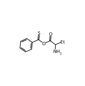 CCC(N)C(=O)OC(=S)c1ccccc1